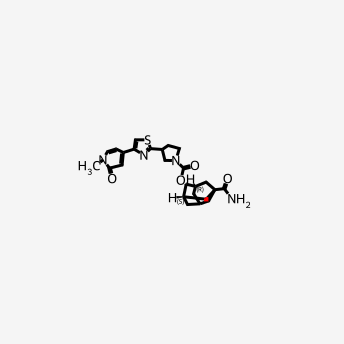 Cn1ccc(-c2csc(C3CCN(C(=O)OC4[C@@H]5CC6C[C@H]4CC(C(N)=O)(C6)C5)C3)n2)cc1=O